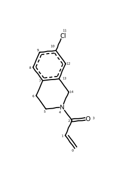 C=CC(=O)N1CCc2ccc(Cl)cc2C1